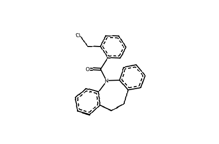 O=C(c1ccccc1CCl)N1c2ccccc2CCc2ccccc21